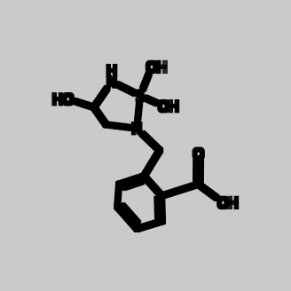 O=C(O)c1ccccc1CN1CC(O)NS1(O)O